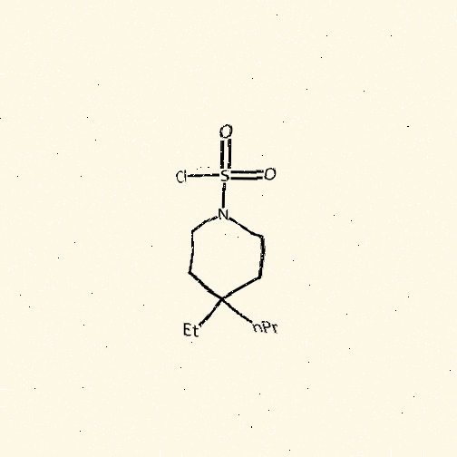 CCCC1(CC)CCN(S(=O)(=O)Cl)CC1